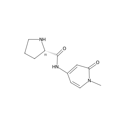 Cn1ccc(NC(=O)[C@@H]2CCCN2)cc1=O